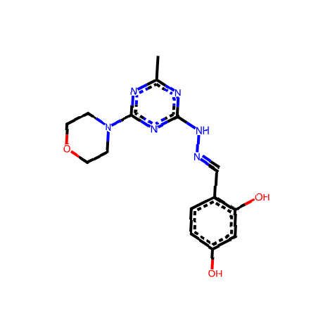 Cc1nc(N/N=C/c2ccc(O)cc2O)nc(N2CCOCC2)n1